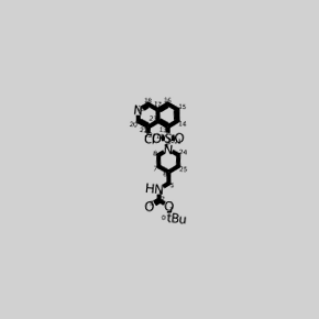 CC(C)(C)OC(=O)NCC1CCN(S(=O)(=O)c2cccc3cncc(Cl)c23)CC1